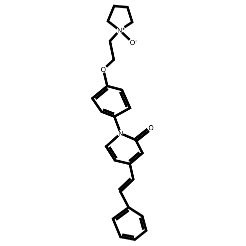 O=c1cc(/C=C/c2ccccc2)ccn1-c1ccc(OCC[N+]2([O-])CCCC2)cc1